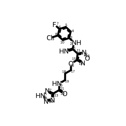 N=C(Nc1ccc(F)c(Cl)c1)c1nonc1OCCCNC(=O)c1nn[nH]n1